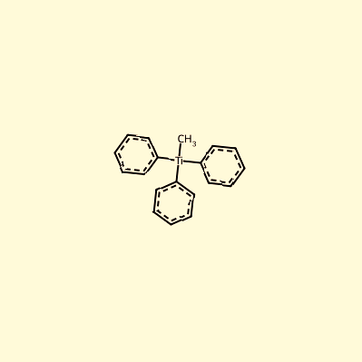 [CH3][Ti]([c]1ccccc1)([c]1ccccc1)[c]1ccccc1